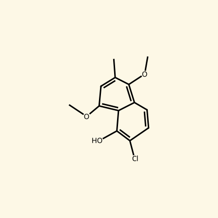 COc1c(C)cc(OC)c2c(O)c(Cl)ccc12